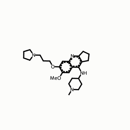 COc1cc2c(NC3CCN(C)CC3)c3c(nc2cc1OCCCN1CCCC1)CCC3